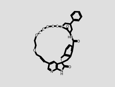 O=C1NC2CC(c3ccccc3)CN(CCOCCOCCOC/C=C/c3cnc4c(c3)[C@]3(Cc5ccc1cc5C3)C(=O)N4)C2=O